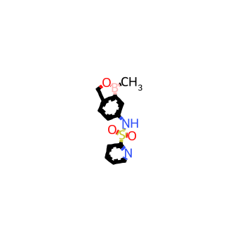 CB1OCc2ccc(NS(=O)(=O)c3ccccn3)cc21